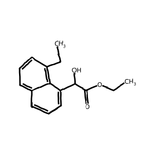 CCOC(=O)C(O)c1cccc2cccc(CC)c12